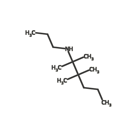 CCCNC(C)(C)C(C)(C)CCC